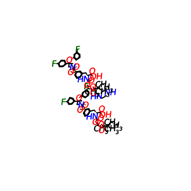 C1CNCCN1.C[C@H](OC(=O)N[C@@H](Cc1cccc(S(=O)(=O)N2CC(Oc3cccc(F)c3)(c3ccc(F)cc3)C2)c1)C(=O)O)OC(=O)C(C)(C)C.C[C@H](OC(=O)N[C@@H](Cc1cccc(S(=O)(=O)N2CC(Oc3cccc(F)c3)(c3ccc(F)cc3)C2)c1)C(=O)O)OC(=O)C(C)(C)C